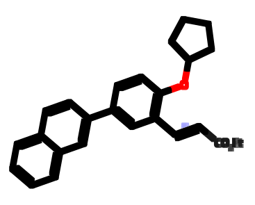 CCOC(=O)/C=C/c1cc(-c2ccc3ccccc3c2)ccc1OC1CCCC1